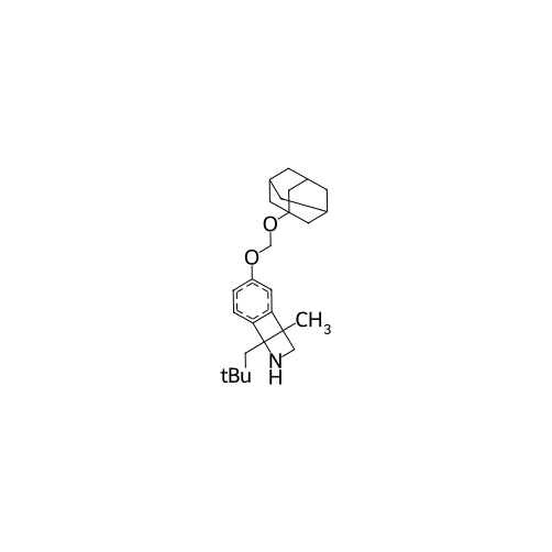 CC(C)(C)CC12NCC1(C)c1cc(OCOC34CC5CC(CC(C5)C3)C4)ccc12